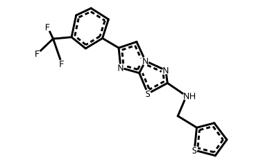 FC(F)(F)c1cccc(-c2cn3nc(NCc4cccs4)sc3n2)c1